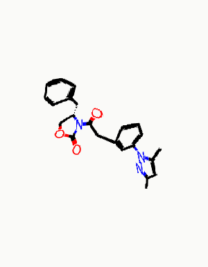 Cc1cc(C)n(-c2cccc(CC(=O)N3C(=O)OC[C@@H]3Cc3ccccc3)c2)n1